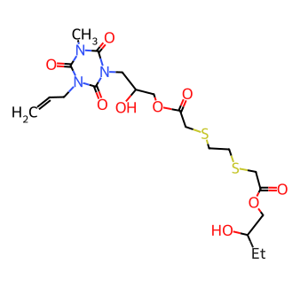 C=CCn1c(=O)n(C)c(=O)n(CC(O)COC(=O)CSCCSCC(=O)OCC(O)CC)c1=O